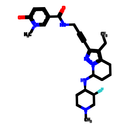 CN1CC[C@@H](NC2CCCc3c(CC(F)(F)F)c(C#CCNC(=O)c4ccc(=O)n(C)c4)nn32)[C@@H](F)C1